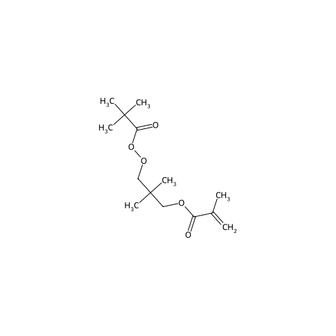 C=C(C)C(=O)OCC(C)(C)COOC(=O)C(C)(C)C